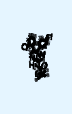 CC(C)(C)OC(=O)Nc1cnn2c(-c3ccc(Cl)cc3)c(-c3ccccc3Cl)cnc12